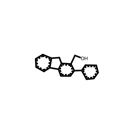 OCc1c(-c2ccccc2)ccc2c1Cc1ccccc1-2